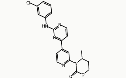 CC1CCOC(=O)N1c1cc(-c2ccnc(Nc3cccc(Cl)c3)n2)ccn1